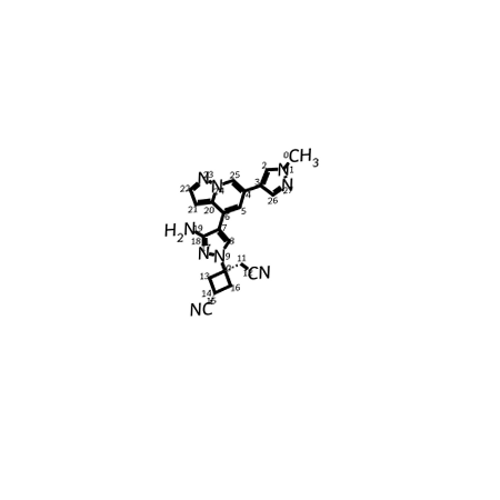 Cn1cc(-c2cc(-c3cn([C@]4(CC#N)C[C@@H](C#N)C4)nc3N)c3ccnn3c2)cn1